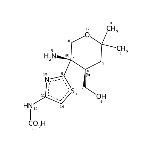 CC1(C)C[C@@H](CO)[C@](N)(c2nc(NC(=O)O)cs2)CO1